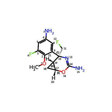 COc1c(F)cc(N)cc1[C@@]1(CF)N=C(N)O[C@@H]2C[C@@H]21